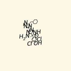 CC1(c2cc(Cl)c(O)c(Cl)c2)C(=O)Nc2nc(-c3cn4ccnc4c(CC4CCCCC4)n3)nc(N)c21